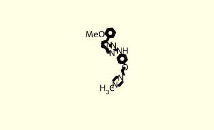 COc1ccccc1-c1ccc2cnc(Nc3ccc(OCCN4CCN(C)CC4)cc3)nn12